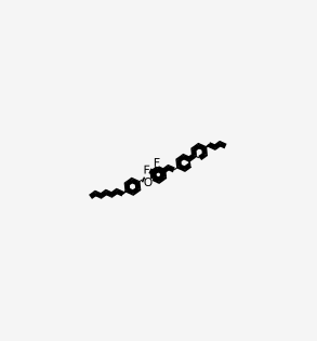 CCCCCCC[C@H]1CC[C@H](COc2ccc(CC[C@H]3CC[C@H]([C@H]4CC[C@H](CCCC)CC4)CC3)c(F)c2F)CC1